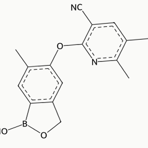 Cc1cc2c(cc1Oc1nc(C)c(C)cc1C#N)COB2O